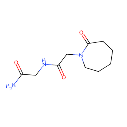 NC(=O)CNC(=O)CN1CCCCCC1=O